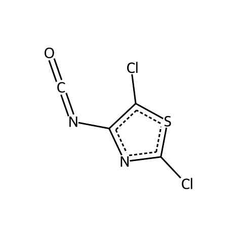 O=C=Nc1nc(Cl)sc1Cl